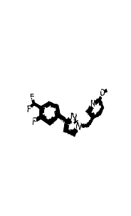 COc1ccc(Cn2ccc(-c3ccc(C(F)F)c(F)c3)n2)cn1